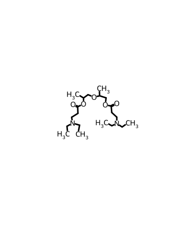 CCN(CC)CCC(=O)OCC(C)OCC(C)OC(=O)CCN(CC)CC